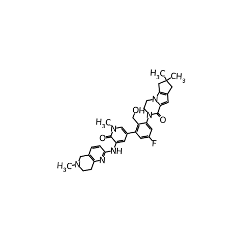 CN1CCc2nc(Nc3cc(-c4cc(F)cc(N5CCn6c(cc7c6CC(C)(C)C7)C5=O)c4CO)cn(C)c3=O)ccc2C1